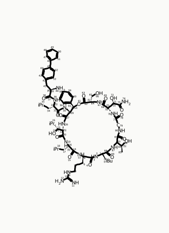 CC[C@H](C)C1NC(=O)[C@@H](CCCNC(=N)N)NC(=O)[C@H](CC(C)C)NC(=O)[C@H]([C@H](O)C(C)C)NC(=O)[C@@H](NC(=O)[C@H](CC(C)C)NC(=O)[C@H](N)Cc2ccc(-c3ccccc3)cc2)[C@@H](c2ccccc2)OC(=O)[C@H](CO)NC(=O)[C@H]([C@H](O)C(N)=O)NC(=O)CNC(=O)C([C@H](C)O)NC1=O